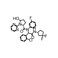 O=C(N[C@H]1CCC(F)(F)C1)C(c1ccccc1Cl)N(C(=O)[C@@H]1CCC(O)N1c1ncccn1)c1cccc(F)c1